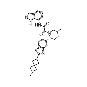 C[C@H]1CC[C@H](c2ccc3sc(C4CC5(C4)CN(C)C5)nc3c2)N(C(=O)C(=O)Nc2cncc3cn[nH]c23)C1